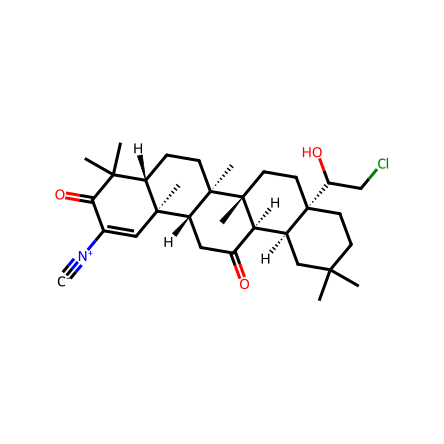 [C-]#[N+]C1=C[C@]2(C)[C@H]3CC(=O)[C@@H]4[C@@H]5CC(C)(C)CC[C@]5(C(O)CCl)CC[C@@]4(C)[C@]3(C)CC[C@H]2C(C)(C)C1=O